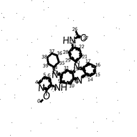 COc1ncccc1Nc1cc2nc3ccccc3n(-c3ccc(NC(C)=O)cc3)c-2cc1=NC1CCCCC1